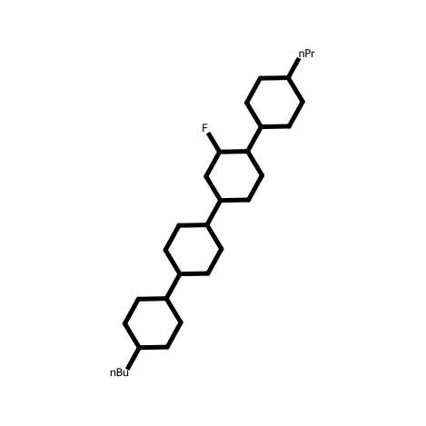 CCCCC1CCC(C2CCC(C3CCC(C4CCC(CCC)CC4)C(F)C3)CC2)CC1